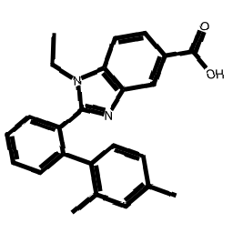 CCn1c(-c2ccccc2-c2ccc(C)cc2C)nc2cc(C(=O)O)ccc21